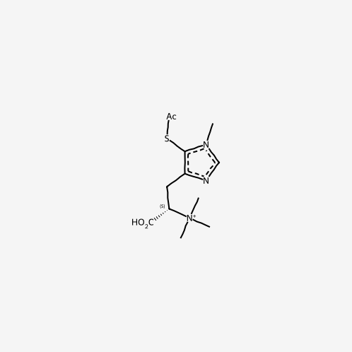 CC(=O)Sc1c(C[C@@H](C(=O)O)[N+](C)(C)C)ncn1C